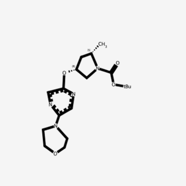 C[C@H]1C[C@@H](Oc2cnc(N3CCOCC3)cn2)CN1C(=O)OC(C)(C)C